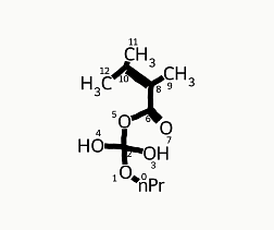 CCCOC(O)(O)OC(=O)C(C)=C(C)C